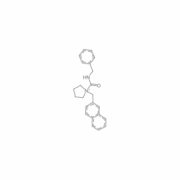 O=C(NCc1ccccc1)[N+]1(Cc2ccc3ccccc3c2)CCCC1